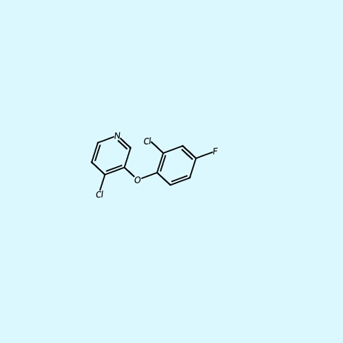 Fc1ccc(Oc2cnccc2Cl)c(Cl)c1